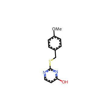 COc1ccc(CSc2nccc(O)n2)cc1